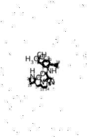 CC1(C)Cc2cc(NC(=O)c3cnn4ccc(C[C@H]5CCNC5=O)nc34)c(C3CC3)cc2O1